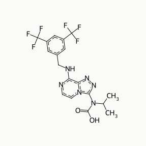 CC(C)N(C(=O)O)c1nnc2c(NCc3cc(C(F)(F)F)cc(C(F)(F)F)c3)nccn12